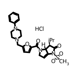 CC(C)[C@H]1C(=O)N(S(C)(=O)=O)C2=CCN(C(=O)c3ccc(CN4CCN(c5ccccc5)CC4)o3)[C@@H]21.Cl